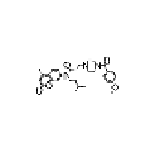 COc1ccc(C(=O)N2CCN(CCC(=O)N(CC=C(C)C)c3ccc4c(C)cc(=O)oc4c3)CC2)cc1